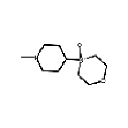 CN1CCC([N+]2([O-])CCOCC2)CC1